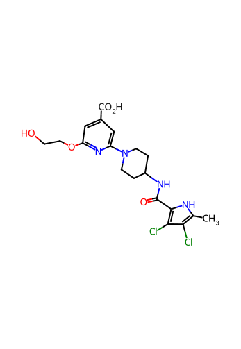 Cc1[nH]c(C(=O)NC2CCN(c3cc(C(=O)O)cc(OCCO)n3)CC2)c(Cl)c1Cl